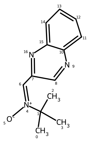 CC(C)(C)/[N+]([O-])=C\c1cnc2ccccc2n1